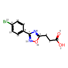 O=C(O)CCc1nc(-c2ccc(Br)cc2)no1